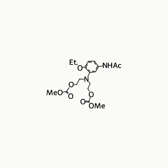 CCOc1ccc(NC(C)=O)cc1N(CCOC(=O)OC)CCOC(=O)OC